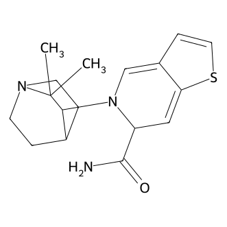 CC1(C)C(N2C=c3ccsc3=CC2C(N)=O)C2CCN1CC2